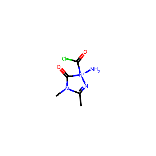 CC1=N[N+](N)(C(=O)Cl)C(=O)N1C